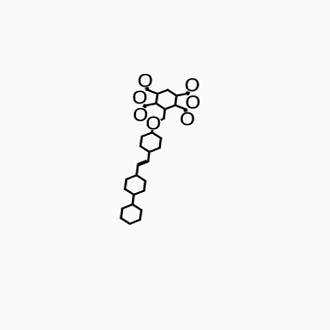 O=C1OC(=O)C2C1CC1C(=O)OC(=O)C1C2COC1CCC(/C=C/C2CCC(C3CCCCC3)CC2)CC1